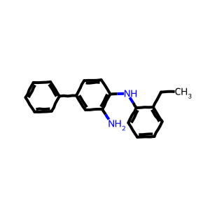 CCc1ccccc1Nc1ccc(-c2ccccc2)cc1N